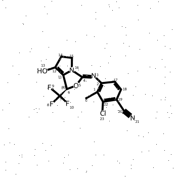 Cc1c(N=C2O[C@@H](C(F)(F)F)C3=C(O)CCN23)ccc(C#N)c1Cl